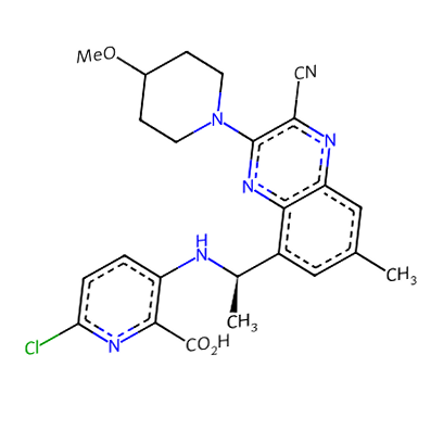 COC1CCN(c2nc3c([C@@H](C)Nc4ccc(Cl)nc4C(=O)O)cc(C)cc3nc2C#N)CC1